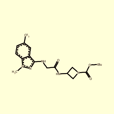 Cn1nc(NCC(=O)NC2CN(C(=O)OC(C)(C)C)C2)c2cc(C(F)(F)F)ccc21